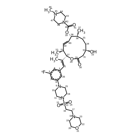 C/C(=C\c1cc(F)cc(N2CCN(S(=O)(=O)CCN3CCOCC3)CC2)c1)[C@H]1OC(=O)C[C@H](O)CC[C@H](C)[C@@H](OC(=O)N2CCN(C)CC2)/C=C/[C@@H]1C